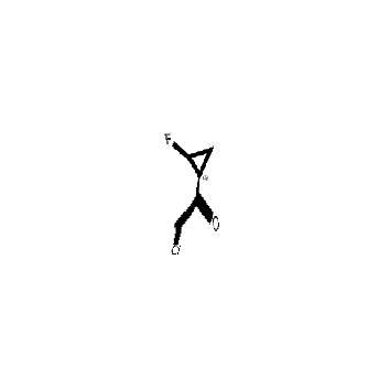 O=C(CCl)[C@@H]1CC1F